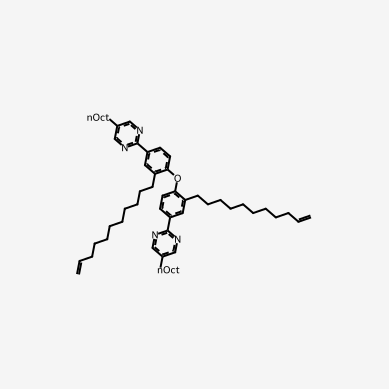 C=CCCCCCCCCCc1cc(-c2ncc(CCCCCCCC)cn2)ccc1Oc1ccc(-c2ncc(CCCCCCCC)cn2)cc1CCCCCCCCCC=C